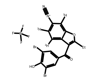 F[B-](F)(F)F.[2H]c1c([N+]#N)c([2H])c2oc(CC)c(C(=O)c3cc(Br)c(O)c(Br)c3)c2c1[2H]